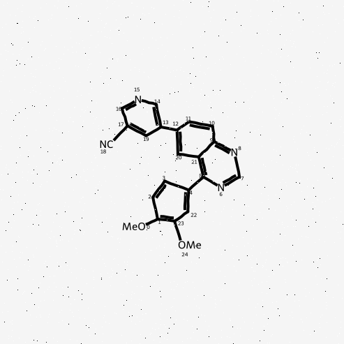 COc1ccc(-c2ncnc3ccc(-c4cncc(C#N)c4)cc23)cc1OC